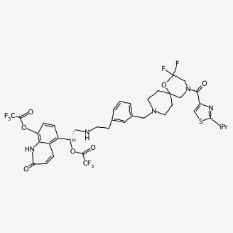 CC(C)c1nc(C(=O)N2CC(F)(F)OC3(CCN(Cc4cccc(CCNC[C@H](OC(=O)C(F)(F)F)c5ccc(OC(=O)C(F)(F)F)c6[nH]c(=O)ccc56)c4)CC3)C2)cs1